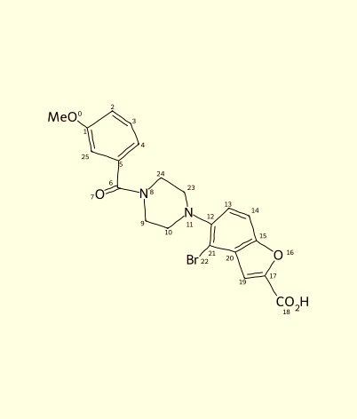 COc1cccc(C(=O)N2CCN(c3ccc4oc(C(=O)O)cc4c3Br)CC2)c1